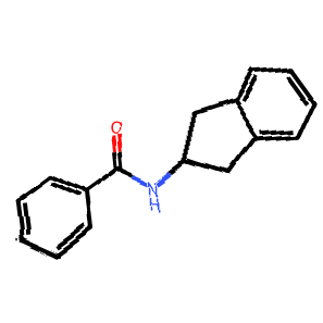 O=C(NC1Cc2ccccc2C1)c1cc[c]cc1